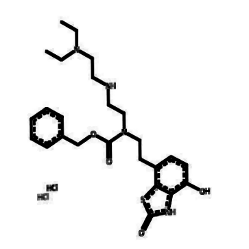 CCN(CC)CCNCCN(CCc1ccc(O)c2[nH]c(=O)sc12)C(=O)OCc1ccccc1.Cl.Cl